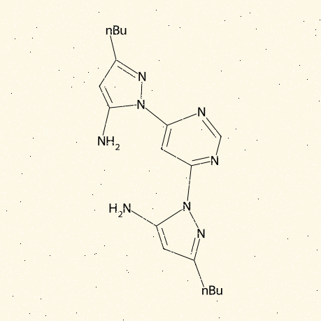 CCCCc1cc(N)n(-c2cc(-n3nc(CCCC)cc3N)ncn2)n1